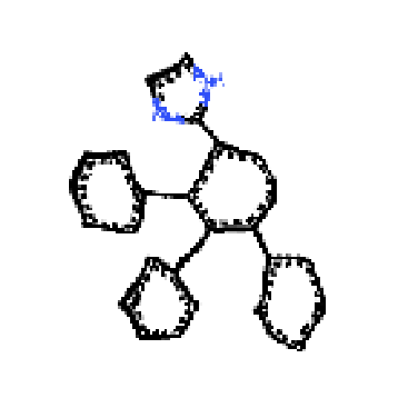 c1ccc(-c2ccc(-c3ncc[nH]3)c(-c3ccccc3)c2-c2ccccc2)cc1